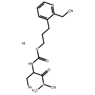 CC(C)CC(NC(=O)OCCCc1cccnc1CC#N)C(=O)N(C)C#N.I